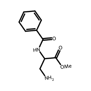 COC(=O)C(CN)NC(=O)c1ccccc1